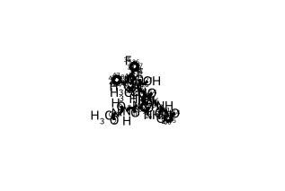 CC(=O)NCC(=O)NCC(=O)NC(CC(N)=O)C(=O)NC(CCN(C(=O)CO)C(c1cc(-c2cc(F)ccc2F)cn1Cc1ccccc1)C(C)(C)C)C(=O)NCCNC(=O)CN1C(=O)C=CC1=O